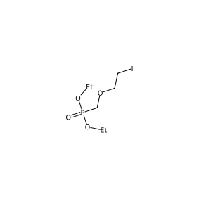 CCOP(=O)(COCCI)OCC